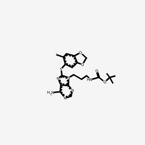 CC(C)(C)OC(=O)NCCCn1c(Sc2cc3c(cc2I)OCO3)nc2c(N)ncnc21